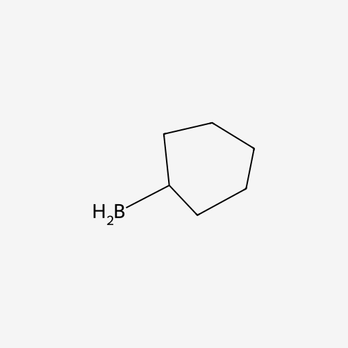 BC1CCCCC1